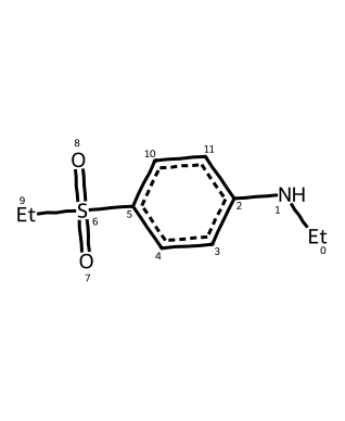 CCNc1ccc(S(=O)(=O)CC)cc1